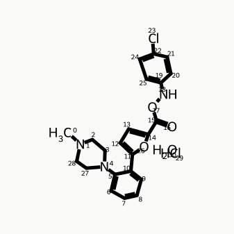 CN1CCN(c2ccccc2-c2ccc(C(=O)ONc3ccc(Cl)cc3)o2)CC1.Cl.O